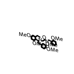 COc1cc2c(c(OC)c1)C(Cc1ccc(OC)c(OC)c1)N(CC(=O)NCc1ccccc1OC)CC2